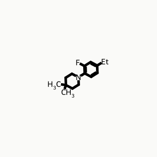 CCc1ccc(N2CCC(C)(C)CC2)c(F)c1